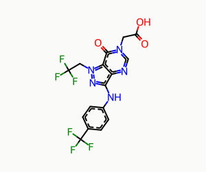 O=C(O)Cn1cnc2c(Nc3ccc(C(F)(F)F)cc3)nn(CC(F)(F)F)c2c1=O